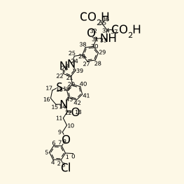 Cc1c(Cl)cccc1OCCCC(=O)N1CCCSc2c(-c3cnn(Cc4cccc(C(=O)NC(CC(=O)O)C(=O)O)c4)c3)cccc21